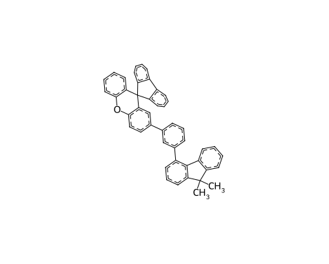 CC1(C)c2ccccc2-c2c(-c3cccc(-c4ccc5c(c4)C4(c6ccccc6O5)c5ccccc5-c5ccccc54)c3)cccc21